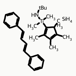 C(C=Cc1ccccc1)=Cc1ccccc1.CC1=C(C)C(C)[C]([Ti]([CH3])([CH3])[NH]C(C)(C)C)=C1C.[SiH4]